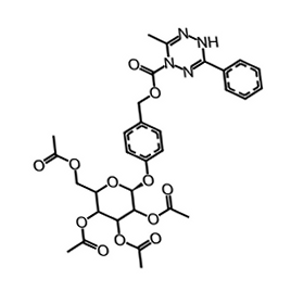 CC(=O)OCC1O[C@@H](Oc2ccc(COC(=O)N3N=C(c4ccccc4)NN=C3C)cc2)C(OC(C)=O)C(OC(C)=O)C1OC(C)=O